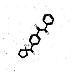 O=C(C(=O)c1ccc(C(=O)C2(O)CCCC2)cc1)c1ccccc1